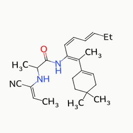 C/C=C(/C#N)NC(C)C(=O)NC(/C=C\C=C\CC)=C(/C)C1=CCC(C)(C)CC1